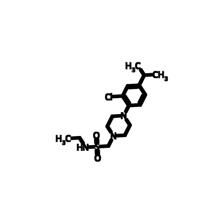 CCNS(=O)(=O)CN1CCN(c2ccc(C(C)C)cc2Cl)CC1